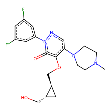 CN1CCN(c2cnn(-c3cc(F)cc(F)c3)c(=O)c2OC[C@H]2C[C@@H]2CO)CC1